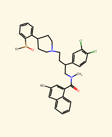 CC[S+]([O-])c1ccccc1C1CCN(CCC(CN(C)C(=O)c2cc(C#N)cc3ccccc23)c2ccc(Cl)c(Cl)c2)CC1